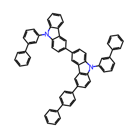 c1ccc(-c2ccc(-c3ccc4c(c3)c3cc(-c5ccc6c(c5)c5ccccc5n6-c5cccc(-c6ccccc6)c5)ccc3n4-c3cccc(-c4ccccc4)c3)cc2)cc1